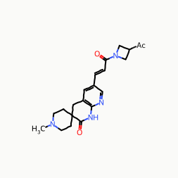 CC(=O)C1CN(C(=O)C=Cc2cnc3c(c2)CC2(CCN(C)CC2)C(=O)N3)C1